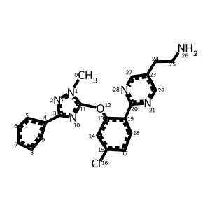 Cn1nc(-c2ccccc2)nc1Oc1cc(Cl)ccc1-c1ncc(CCN)cn1